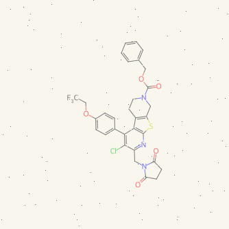 O=C(OCc1ccccc1)N1CCc2c(sc3nc(CN4C(=O)CCC4=O)c(Cl)c(-c4ccc(OCC(F)(F)F)cc4)c23)C1